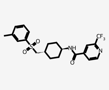 Cc1cccc(S(=O)(=O)C[C@H]2CC[C@H](NC(=O)c3ccnc(C(F)(F)F)c3)CC2)c1